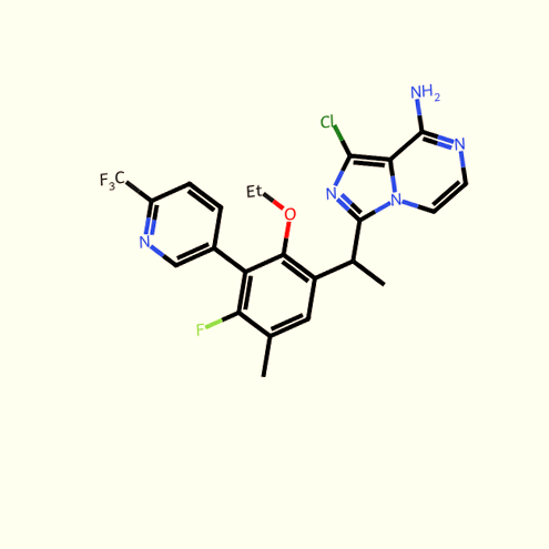 CCOc1c(C(C)c2nc(Cl)c3c(N)nccn23)cc(C)c(F)c1-c1ccc(C(F)(F)F)nc1